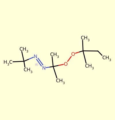 CCC(C)(C)OOC(C)(C)/N=N/C(C)(C)C